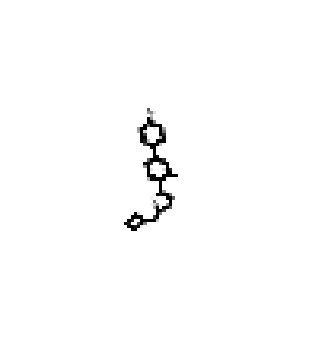 CCc1ccc(-c2ccc(C3=CCC(CC4CCC4)S3)c(F)c2)cc1